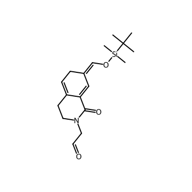 CC(C)(C)[Si](C)(C)OC=C1C=C2C(=O)N(CC=O)CCC2=CC1